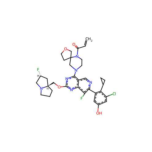 C=CC(=O)N1CCN(c2nc(OC[C@@]34CCCN3C[C@H](F)C4)nc3c(F)c(-c4cc(O)cc(Cl)c4C4CC4)ncc23)CC12CCOC2